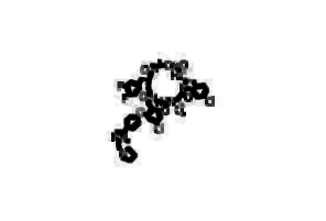 COC[C@@H]1NC(=O)[C@H](C)N(Cc2ccc(Cl)cc2Oc2ccc(-c3cnc(CN4CCCC4)n3C)cc2)C(=O)C[C@@H](Cc2ccc(F)c(F)c2)C(=O)N(C)[C@@H](C)CNC(=O)C[C@H](Cc2ccc(Cl)cc2)N(C)C1=O